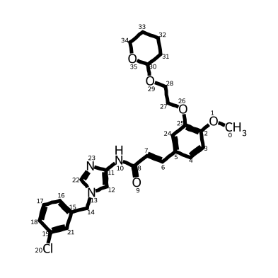 COc1ccc(/C=C/C(=O)Nc2cn(Cc3cccc(Cl)c3)cn2)cc1OCCOC1CCCCO1